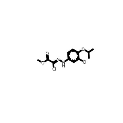 COC(=O)C(Cl)=NNc1ccc(OC(C)C)c(Cl)c1